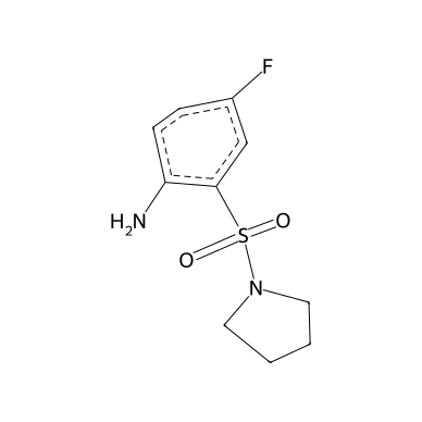 Nc1ccc(F)cc1S(=O)(=O)N1CCCC1